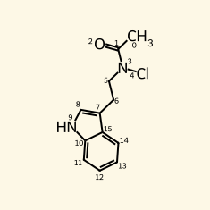 CC(=O)N(Cl)CCc1c[nH]c2ccccc12